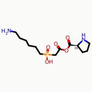 NCCCCCCP(=O)(O)CC(=O)OC(=O)[C@@H]1CCCN1